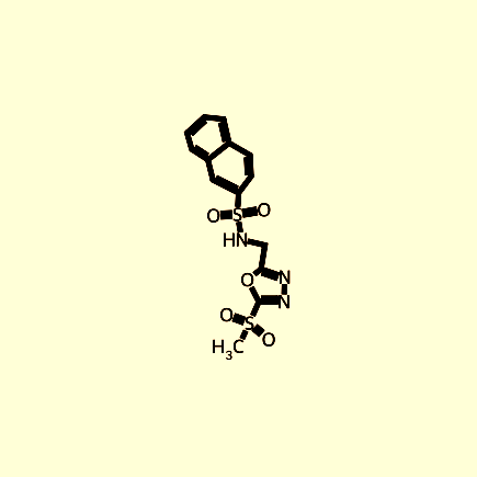 CS(=O)(=O)c1nnc(CNS(=O)(=O)c2ccc3ccccc3c2)o1